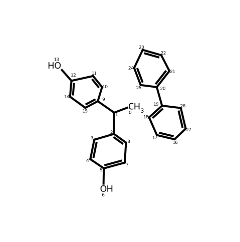 CC(c1ccc(O)cc1)c1ccc(O)cc1.c1ccc(-c2ccccc2)cc1